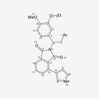 CCOc1cc(C(CC(C)=O)N2C(=O)c3cccc(-c4cc[nH]c4)c3C2=O)ccc1OC